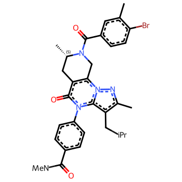 CNC(=O)c1ccc(-n2c(=O)c3c(n4nc(C)c(CC(C)C)c24)CN(C(=O)c2ccc(Br)c(C)c2)[C@@H](C)C3)cc1